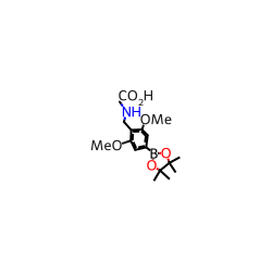 COc1cc(B2OC(C)(C)C(C)(C)O2)cc(OC)c1CNCC(=O)O